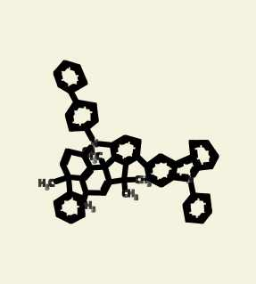 CC1C=C2C(C)(C)c3c(-c4ccc5c(c4)c4ccccc4n5-c4ccccc4)ccc4c3C2(C)C2=C1C(C)(c1ccccc1)C=CC2(C)N4c1ccc(-c2ccccc2)cc1